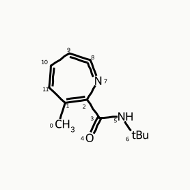 CC1=C(C(=O)NC(C)(C)C)N=C=CC=C1